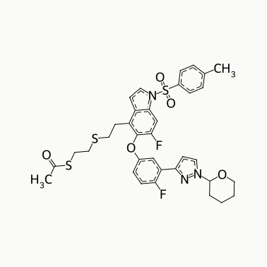 CC(=O)SCCSCCc1c(Oc2ccc(F)c(-c3ccn(C4CCCCO4)n3)c2)c(F)cc2c1ccn2S(=O)(=O)c1ccc(C)cc1